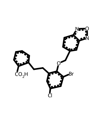 O=C(O)c1ccccc1CCc1cc(Cl)cc(Br)c1OCc1ccc2nonc2c1